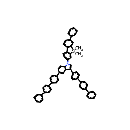 C[Si]1(C)c2cc(-c3ccccc3)ccc2-c2ccc(N3C=C(c4ccc(-c5ccc(-c6ccccc6)cc5)cc4)C4C=C(c5ccc(-c6ccc(-c7ccccc7)cc6)cc5)C=CC43)cc21